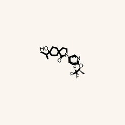 CC(C)C1(O)CCC2(CCN(c3ccc(O[C@@H](C)C(F)(F)F)nc3)C2=O)CC1